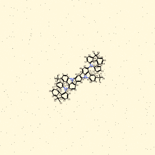 CC(C)(C)c1ccc2c(c1)c1c(N(c3ccccc3)c3cccc4c3-c3ccccc3C4(C)C)ccc3c4cc5c(cc4n2c31)c1ccc(N(c2ccccc2)c2cccc3c2-c2ccccc2C3(C)C)c2c3cc(C(C)(C)C)ccc3n5c12